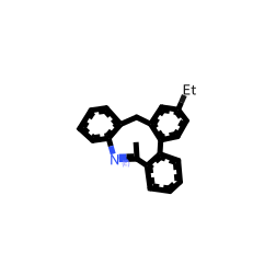 CCc1ccc2c(c1)Cc1ccccc1/N=C(\C)c1ccccc1-2